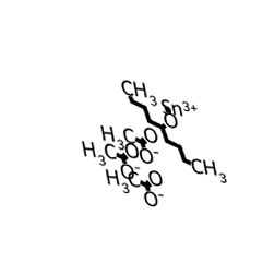 CC(=O)[O-].CC(=O)[O-].CC(=O)[O-].CCCCC(CCCC)[O][Sn+3]